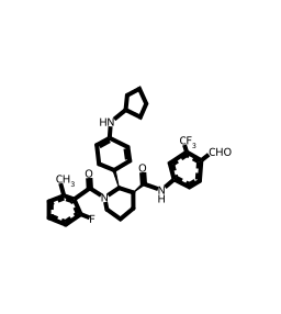 Cc1cccc(F)c1C(=O)N1CCC[C@H](C(=O)Nc2ccc(C=O)c(C(F)(F)F)c2)[C@@H]1C1C=CC(NC2CCCC2)=CC1